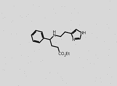 CCOC(=O)CCC(NCCc1c[nH]cn1)c1ccccc1